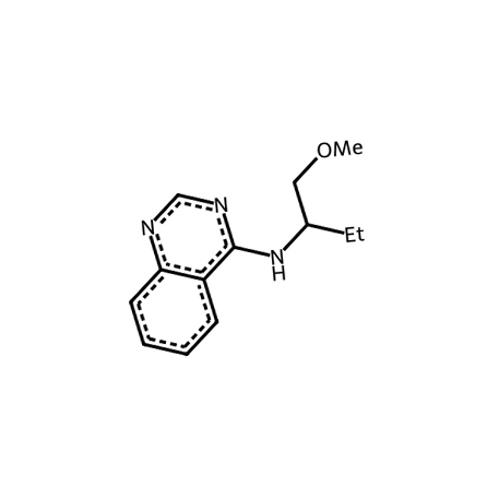 CCC(COC)Nc1ncnc2ccccc12